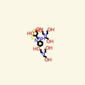 OC(=S)CC(C(O)=S)c1nc2ccccc2[nH]1.OCCN(CCO)CCO.OCCN(CCO)CCO